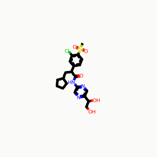 CS(=O)(=O)c1ccc(C(CC2CCCC2)C(=O)Nc2cnc(C(O)CO)cn2)cc1Cl